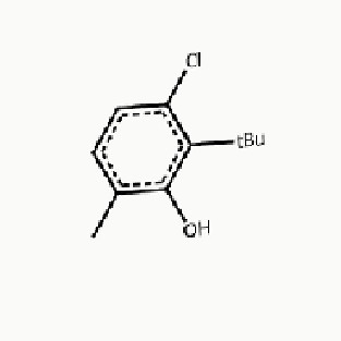 Cc1ccc(Cl)c(C(C)(C)C)c1O